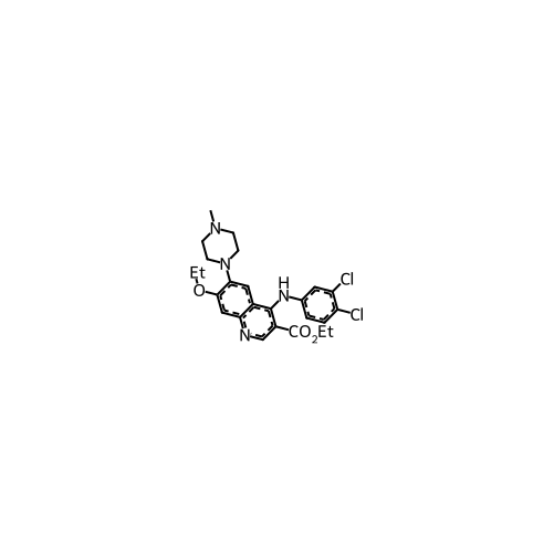 CCOC(=O)c1cnc2cc(OCC)c(N3CCN(C)CC3)cc2c1Nc1ccc(Cl)c(Cl)c1